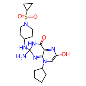 NC1(NC2CCN(S(=O)(=O)C3CC3)CC2)N=C2C(=NC(O)=CN2C2CCCC2)C(=O)N1